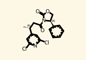 C[C@H](CC(=O)N1C(=O)OC[C@H]1c1ccccc1)c1cc(Cl)nc(Cl)c1